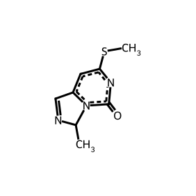 CSc1cc2n(c(=O)n1)C(C)N=C2